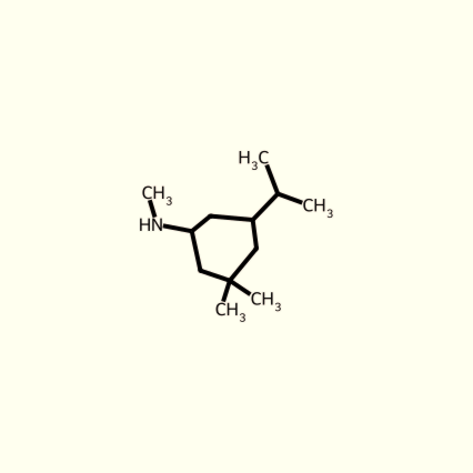 CNC1CC(C(C)C)CC(C)(C)C1